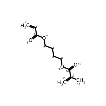 C=CC(=O)OCC[CH]COC(=O)C(=C)C